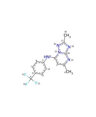 Cc1cc(Nc2ccc(C(F)(F)F)cc2)n2nc(C)nc2n1